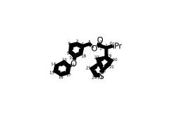 CC(C)C(C(=O)OCc1cccc(Oc2ccccc2)c1)c1ccc2sccc2c1